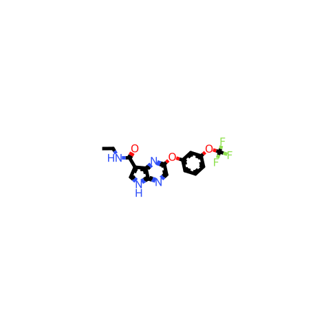 CCNC(=O)c1c[nH]c2ncc(Oc3cccc(OC(F)(F)F)c3)nc12